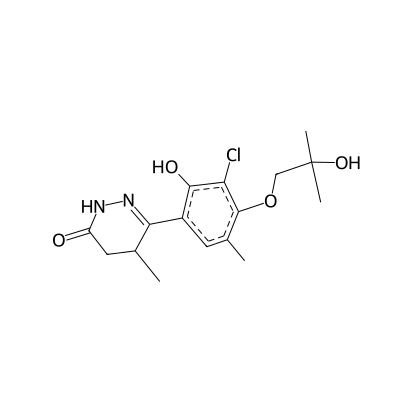 Cc1cc(C2=NNC(=O)CC2C)c(O)c(Cl)c1OCC(C)(C)O